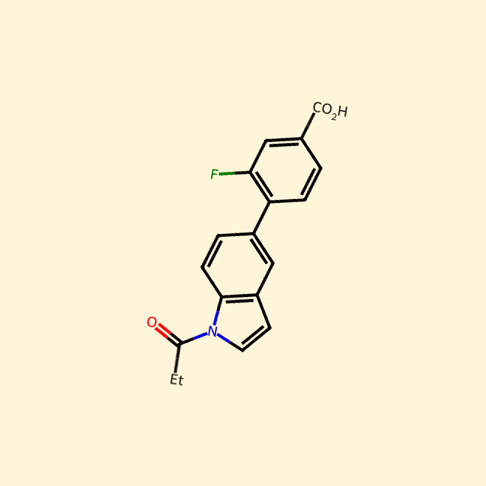 CCC(=O)n1ccc2cc(-c3ccc(C(=O)O)cc3F)ccc21